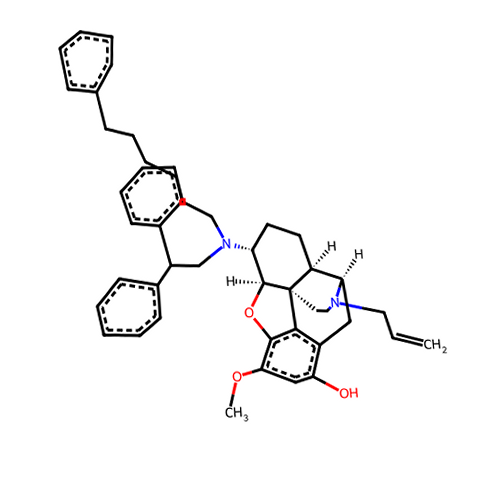 C=CCN1CC[C@]23c4c5c(O)cc(OC)c4O[C@H]2[C@H](N(CCCCCCc2ccccc2)CC(c2ccccc2)c2ccccc2)CC[C@H]3[C@H]1C5